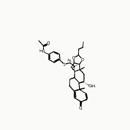 CCCC1O[C@@H]2CC3C4CCC5=CC(=O)C=CC5(C)C4[C@@H](O)CC3(C)[C@]2(C(=O)CSc2ccc(NC(C)=O)cc2)O1